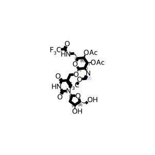 CC(=O)O[C@@H]1[C@@H](/N=C\OC(F)(F)F)[C@H](OCc2cn([C@H]3C[C@@H](O)[C@@H](CO)O3)c(=O)[nH]c2=O)O[C@H](CNC(=O)C(F)(F)F)[C@H]1OC(C)=O